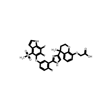 CC1(c2c[nH]c(-c3cc(Oc4c(F)c(F)c5[nH]ccc5c4S(C)(=O)=O)ccc3F)n2)CCOc2c(OCC(=O)O)cccc21